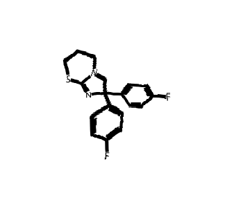 Fc1ccc(C2(c3ccc(F)cc3)CN3CCCSC3=N2)cc1